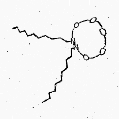 CCCCCCCCCCCN1CCOCCOCCOCCOCCOCN1CCCCCCCCCCC